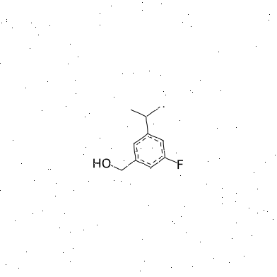 [CH2]C(C)c1cc(F)cc(CO)c1